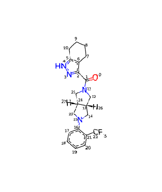 O=C(c1n[nH]c2c1CCCC2)N1C[C@@H]2CN(c3ccccc3C(F)(F)F)C[C@@H]2C1